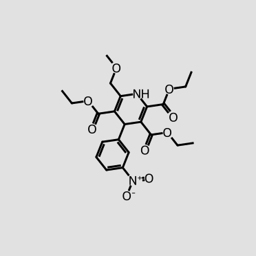 CCOC(=O)C1=C(C(=O)OCC)C(c2cccc([N+](=O)[O-])c2)C(C(=O)OCC)=C(COC)N1